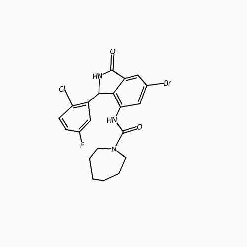 O=C1NC(c2cc(F)ccc2Cl)c2c(NC(=O)N3CCCCCC3)cc(Br)cc21